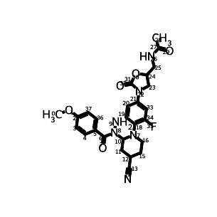 COc1ccc(C(=O)N(N)C2CC(C#N)CCN2c2ccc(N3CC(CNC(C)=O)OC3=O)cc2F)cc1